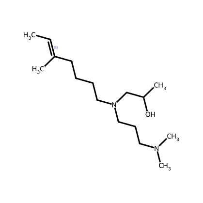 C/C=C(\C)CCCCN(CCCN(C)C)CC(C)O